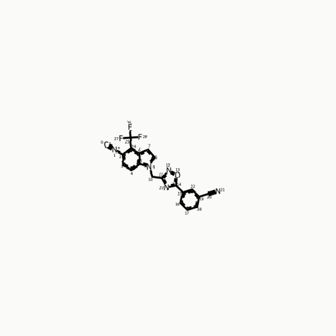 [C-]#[N+]c1ccc2c(ccn2Cc2noc(-c3cccc(C#N)c3)n2)c1C(F)(F)F